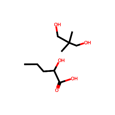 CC(C)(CO)CO.CCCC(O)C(=O)O